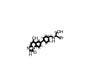 Cc1cc2n[nH]c(=O)n2c2ccc(-c3ccc(CNC(CO)C(C)C)cc3)cc12